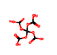 O=C(O)O[Si](OC(=O)O)(OC(=O)O)OC(=O)O